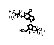 CC(C)C(=O)Nc1nc(Cl)c2ccn([C@@H]3C=C(CO)[C@@H]4OC(C)(C)OC34)c2n1